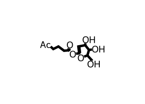 CC(=O)CCCC(=O)OC1=CC(O)C(O)C(CO)O1